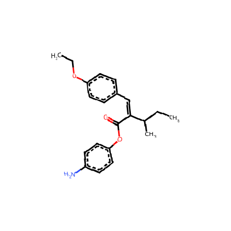 CCOc1ccc(C=C(C(=O)Oc2ccc(N)cc2)C(C)CC)cc1